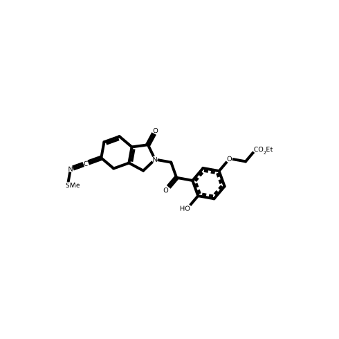 CCOC(=O)COc1ccc(O)c(C(=O)CN2CC3=C(C=CC(=C=NSC)C3)C2=O)c1